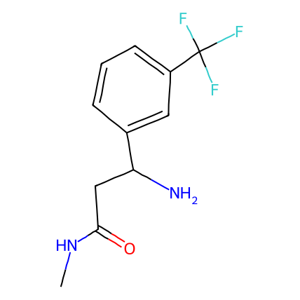 CNC(=O)CC(N)c1cccc(C(F)(F)F)c1